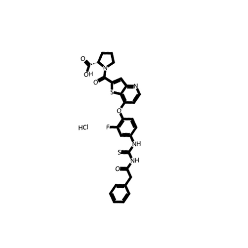 Cl.O=C(Cc1ccccc1)NC(=S)Nc1ccc(Oc2ccnc3cc(C(=O)N4CCC[C@H]4C(=O)O)sc23)c(F)c1